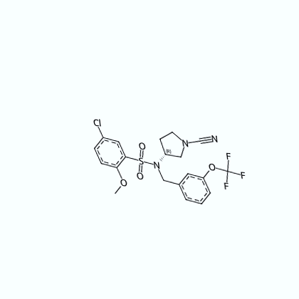 COc1ccc(Cl)cc1S(=O)(=O)N(Cc1cccc(OC(F)(F)F)c1)[C@@H]1CCN(C#N)C1